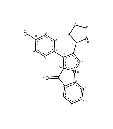 O=C1c2ccccc2-n2cc(C3CCCO3)c(-c3ccc(Cl)cc3)c21